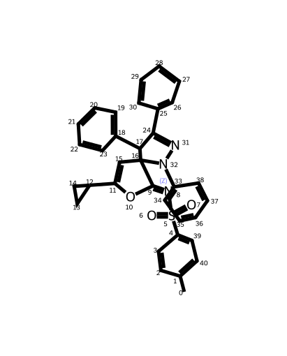 Cc1ccc(S(=O)(=O)/N=C2\OC(C3CC3)=CC23C(c2ccccc2)C(c2ccccc2)=NN3c2ccccc2)cc1